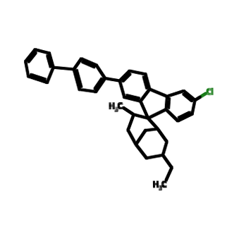 CCC1CC2CC(C)C3(c4ccc(Cl)cc4-c4ccc(-c5ccc(-c6ccccc6)cc5)cc43)C(C1)C2